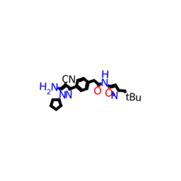 CC(C)(C)Cc1cc(NC(=O)Cc2ccc(-c3nn(C4CCCC4)c(N)c3C#N)cc2)on1